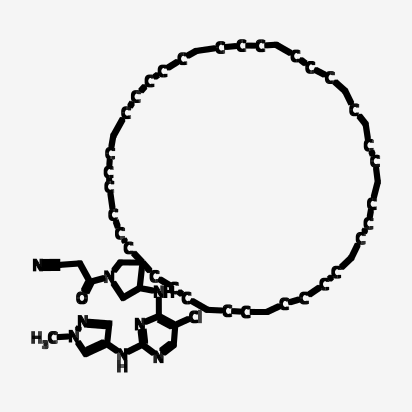 Cn1cc(Nc2ncc(Cl)c(NC3CN(C(=O)CC#N)CC34CCCCCCCCCCCCCCCCCCCCCCCCCCCCCCCCCCCCCCCCC4)n2)cn1